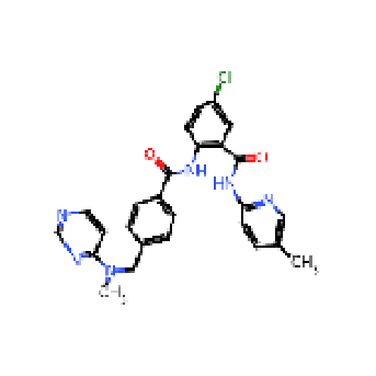 Cc1ccc(NC(=O)c2cc(Cl)ccc2NC(=O)c2ccc(CN(C)c3ccncn3)cc2)nc1